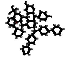 Cc1ccc(N2c3ccc(C)cc3B3c4cc(C(C)(C)C)ccc4N(c4ccccc4-c4ccccc4)c4cc(N(c5ccc(-c6ccccc6)cc5)c5ccc(-c6ccccc6)cc5)cc2c43)cc1